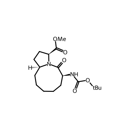 COC(=O)[C@@H]1CC[C@@H]2CCCCC[C@H](NC(=O)OC(C)(C)C)C(=O)N21